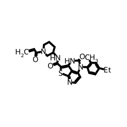 C=CC(=O)N1CCCC(NC(=O)c2sc3nccc4c3c2NC(=O)N4c2ccc(CC)cc2C)C1